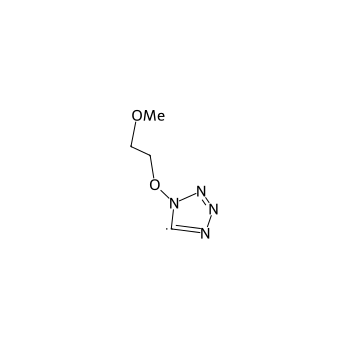 COCCOn1[c]nnn1